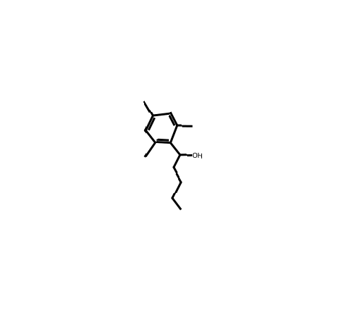 CCCCC(O)c1c(C)cc(C)cc1C